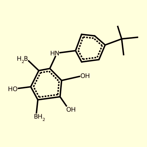 Bc1c(O)c(B)c(Nc2ccc(C(C)(C)C)cc2)c(O)c1O